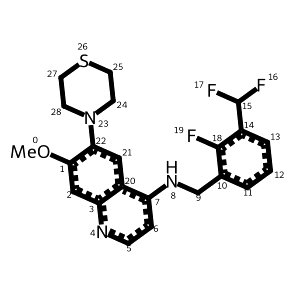 COc1cc2nccc(NCc3cccc(C(F)F)c3F)c2cc1N1CCSCC1